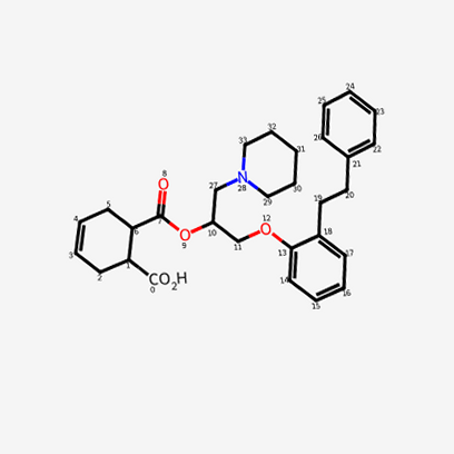 O=C(O)C1CC=CCC1C(=O)OC(COc1ccccc1CCc1ccccc1)CN1CCCCC1